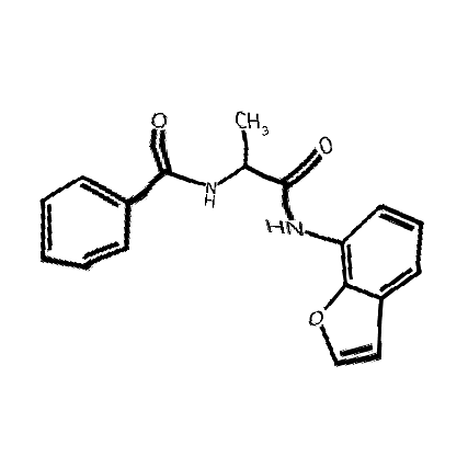 CC(NC(=O)c1ccccc1)C(=O)Nc1cccc2ccoc12